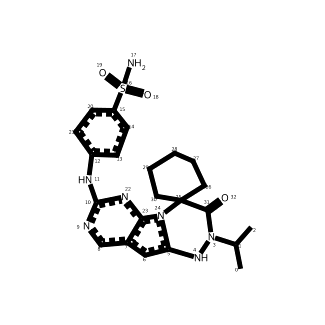 CC(C)N1Nc2cc3cnc(Nc4ccc(S(N)(=O)=O)cc4)nc3n2C2(CCCCC2)C1=O